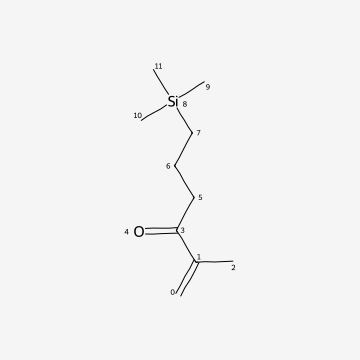 C=C(C)C(=O)CCC[Si](C)(C)C